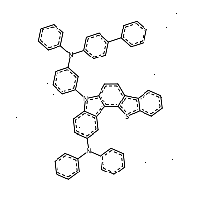 c1ccc(-c2ccc(N(c3ccccc3)c3cccc(-n4c5ccc(N(c6ccccc6)c6ccccc6)cc5c5c6sc7ccccc7c6ccc54)c3)cc2)cc1